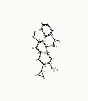 COc1nc(NC(C)c2ccccc2)c2cc(N)c(C3CC3)cc2n1